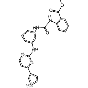 COC(=O)c1ccccc1NC(=O)Nc1cccc(Nc2nccc(-c3cc[nH]c3)n2)c1